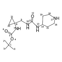 CC(C)(C)OC(=O)NC1(CNC(=O)NC2CCNCC2)CC1